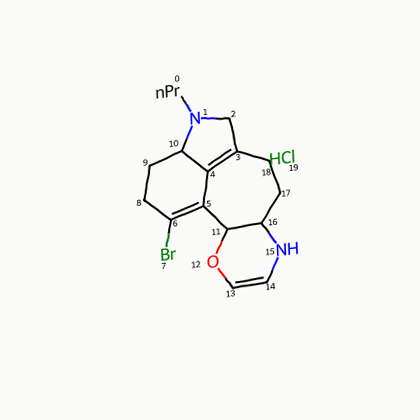 CCCN1CC2=C3C(=C(Br)CCC31)C1OC=CNC1CC2.Cl